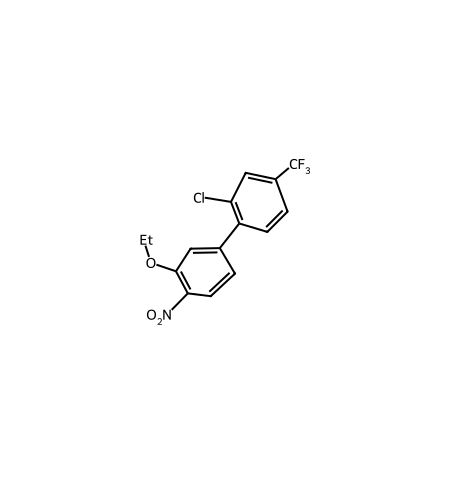 CCOc1cc(-c2ccc(C(F)(F)F)cc2Cl)ccc1[N+](=O)[O-]